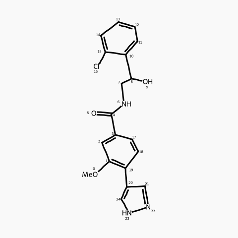 COc1cc(C(=O)NCC(O)c2ccccc2Cl)ccc1-c1cn[nH]c1